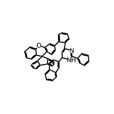 C1=C(c2ccccc2-c2ccc3c(c2)Oc2ccccc2C32c3ccccc3-c3ccccc32)N=C(c2ccccc2)NC1c1ccc2ccccc2c1